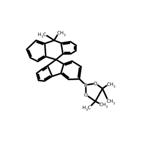 CC1(C)c2ccccc2C2(c3ccccc3-c3cc(B4OC(C)(C)C(C)(C)O4)ccc32)c2ccccc21